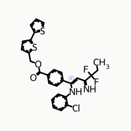 CCC(F)(F)C(=N)/C=C(\Nc1ccccc1Cl)c1ccc(C(=O)OCc2ccc(-c3cccs3)s2)cc1